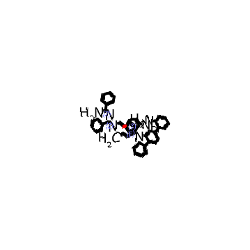 C=C/C=C(\C=C/CC/N=C(\N=C(/N)c1ccccc1)c1ccccc1)n1c2ccccc2c2ccc(C3C=CC=CC3N)c(Nc3ccccc3)c21